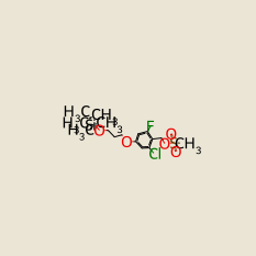 CC(C)(C)[Si](C)(C)OCCCOc1cc(F)c(COS(C)(=O)=O)c(Cl)c1